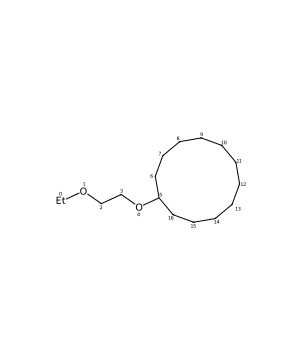 CCOCCOC1CCCCCCCCCCC1